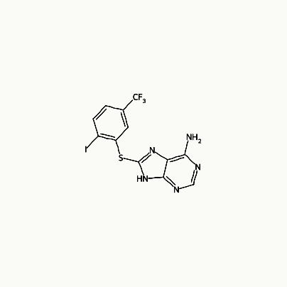 Nc1ncnc2[nH]c(Sc3cc(C(F)(F)F)ccc3I)nc12